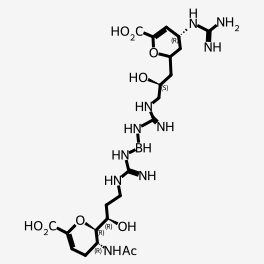 CC(=O)N[C@@H]1CC=C(C(=O)O)O[C@H]1[C@H](O)CCNC(=N)NBNC(=N)NC[C@@H](O)CC1C[C@@H](NC(=N)N)C=C(C(=O)O)O1